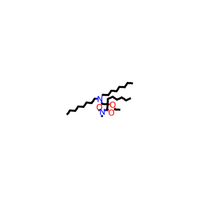 CCCCCCCCN(CCCCCCCC)C(=O)C(CCCCCC)(OCC)C(=O)N(C)C